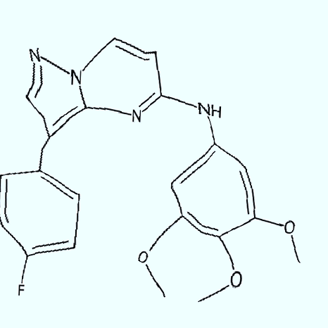 COc1cc(Nc2ccn3ncc(-c4ccc(F)cc4)c3n2)cc(OC)c1OC